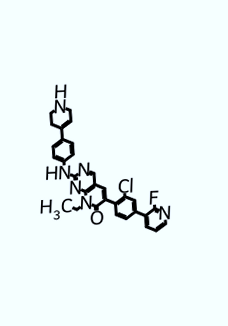 CCn1c(=O)c(-c2ccc(-c3cccnc3F)cc2Cl)cc2cnc(Nc3ccc(C4=CCNCC4)cc3)nc21